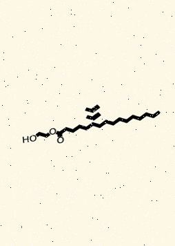 C=CC.C=CC.CCCCCCCCCCCCCCCC(=O)OCCO